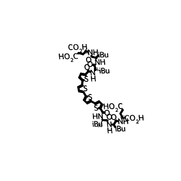 CCC(C)C(NC(=O)C(NC(=O)c1ccc(-c2ccc(-c3ccc(-c4ccc(C(=O)N[C@H](C(=O)NC(C(=O)N[C@@H](CCC(=O)O)C(=O)O)C(C)CC)C(C)CC)s4)s3)s2)s1)[C@H](C)CC)C(=O)N[C@@H](CCC(=O)O)C(=O)O